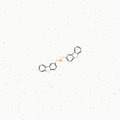 c1ccc2c(c1)sc1ccc(SOSc3ccc4sc5ccccc5c4c3)cc12